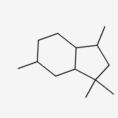 CC1CCC2C(C)CC(C)(C)C2C1